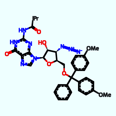 COc1ccc(C(OC[C@H]2O[C@@H](n3cnc4c(=O)[nH]c(NC(=O)C(C)C)nc43)[C@H](O)[C@@H]2N=[N+]=[N-])(c2ccccc2)c2ccc(OC)cc2)cc1